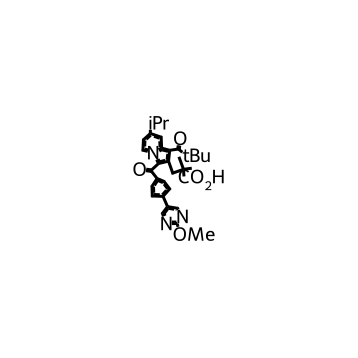 COc1ncc(-c2ccc(C(=O)c3c(CC(C)(C)C(=O)O)c(C(=O)C(C)(C)C)c4cc(C(C)C)ccn34)cc2)cn1